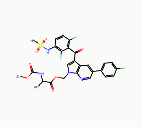 CCCS(=O)(=O)Nc1ccc(F)c(C(=O)c2cn(COC(=O)C(NC(=O)OC(C)(C)C)C(C)CC)c3ncc(-c4ccc(Cl)cc4)cc23)c1F